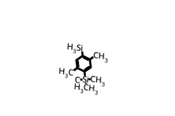 Cc1cc([Si](C)(C)C)c(C)cc1[SiH3]